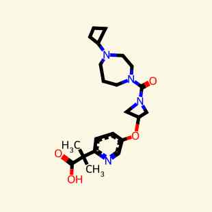 CC(C)(C(=O)O)c1ccc(OC2CN(C(=O)N3CCCN(C4CCC4)CC3)C2)cn1